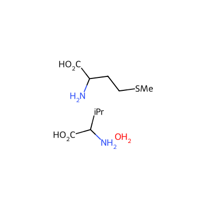 CC(C)C(N)C(=O)O.CSCCC(N)C(=O)O.O